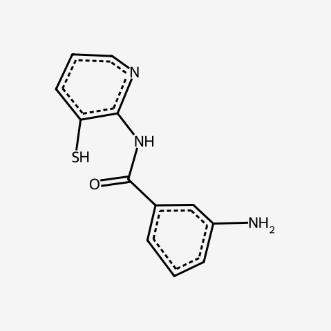 Nc1cccc(C(=O)Nc2ncccc2S)c1